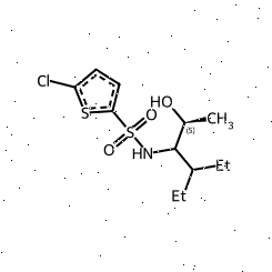 CCC(CC)C(NS(=O)(=O)c1ccc(Cl)s1)[C@H](C)O